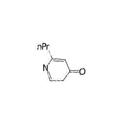 CCCC1=CC(=O)CC=N1